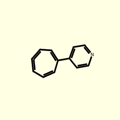 C1=CC=CC(c2ccncc2)=CC=1